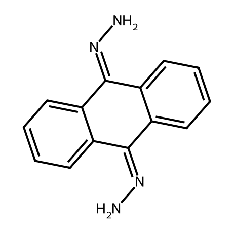 NN=C1c2ccccc2C(=NN)c2ccccc21